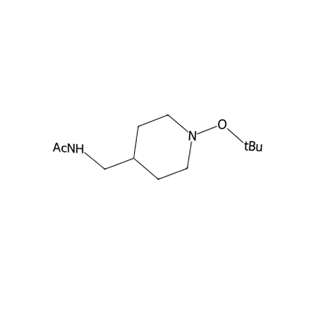 CC(=O)NCC1CCN(OC(C)(C)C)CC1